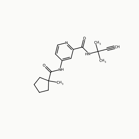 C#CC(C)(C)NC(=O)c1cc(NC(=O)C2(C)CCCC2)ccn1